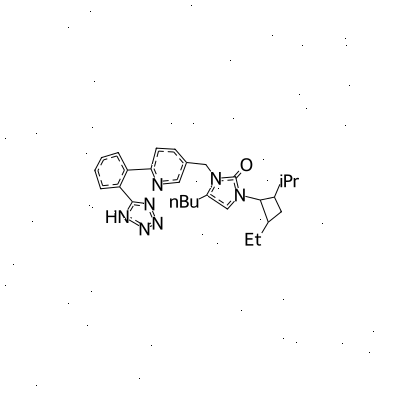 CCCCc1cn(C2C(CC)CC2C(C)C)c(=O)n1Cc1ccc(-c2ccccc2-c2nnn[nH]2)nc1